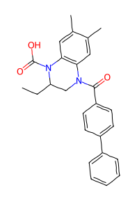 CCC1CN(C(=O)c2ccc(-c3ccccc3)cc2)c2cc(C)c(C)cc2N1C(=O)O